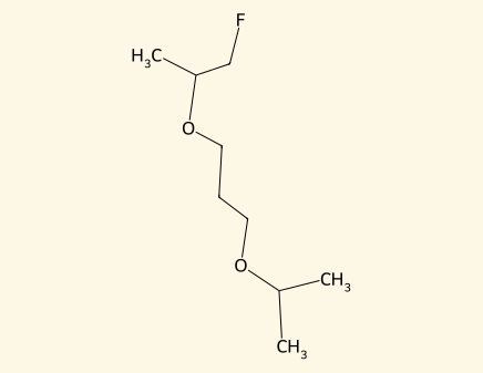 CC(C)OCCCOC(C)CF